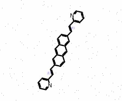 C(=C\c1ccccn1)/c1ccc2cc3cc(/C=C/c4ccccn4)ccc3cc2c1